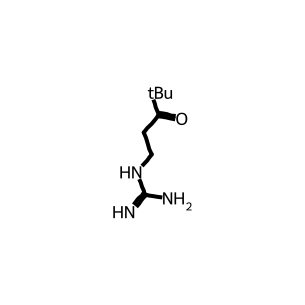 CC(C)(C)C(=O)CCNC(=N)N